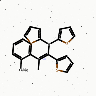 COc1ccccc1/C(C)=C(\B(c1cccs1)c1cccs1)c1cccs1